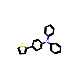 c1ccc(N(c2ccccc2)c2ccc(-c3cccs3)cc2)cc1